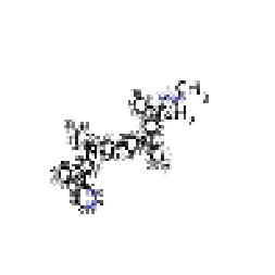 C=C(/C=C\C=C/C)n1c2ccccc2c2cc(N(c3ccc(F)cc3)c3ccc(-c4ccc(N(c5ccc(F)cc5)c5ccc6c(c5)c5ccccc5n6C5C#CC/C=C\C=C/5)cc4)cc3)ccc21